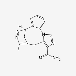 CC1=C2Cc3c(C(N)=O)ncn3-c3ccccc3[C@@H](C2)N=N1